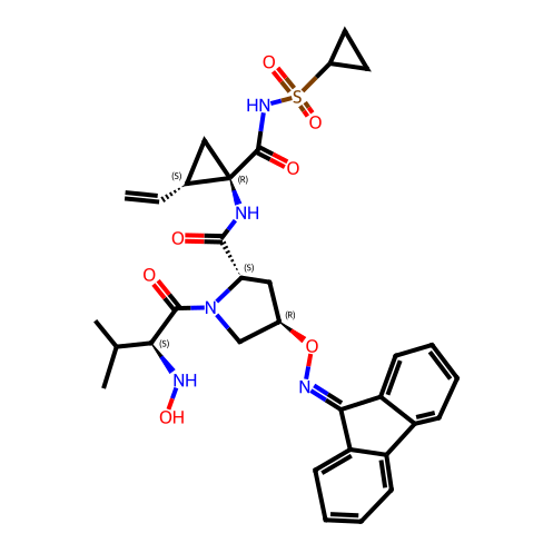 C=C[C@@H]1C[C@]1(NC(=O)[C@@H]1C[C@@H](ON=C2c3ccccc3-c3ccccc32)CN1C(=O)[C@@H](NO)C(C)C)C(=O)NS(=O)(=O)C1CC1